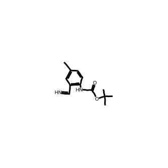 Cc1ccc(NC(=O)OC(C)(C)C)c(C=N)c1